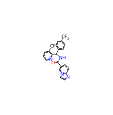 O=C(NC(c1ccc(C(F)(F)F)cc1)c1ncccc1C(F)(F)F)c1ccc2nccn2c1